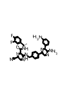 C[C@H](NC(=O)c1nc(C#N)cnc1NCc1ccc(-c2cnc(N)c(-c3cccc(N)c3)n2)cc1)c1ccc(F)c(F)c1